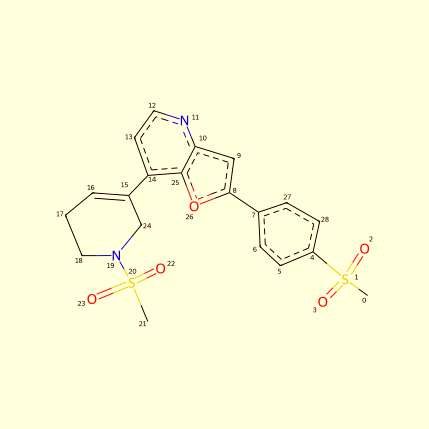 CS(=O)(=O)c1ccc(-c2cc3nccc(C4=CCCN(S(C)(=O)=O)C4)c3o2)cc1